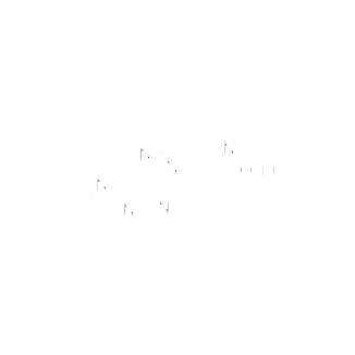 CCON(C)CCn1cnc2c(N)ncnc21